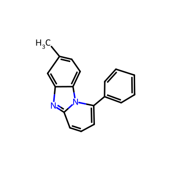 Cc1ccc2c(c1)nc1cccc(-c3ccccc3)n12